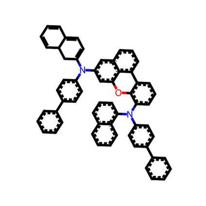 C1=CC2=CC=C(N(c3ccc(-c4ccccc4)cc3)c3cc4c5c(cccc5c3)-c3cccc(N(c5ccc(-c6ccccc6)cc5)c5cccc6ccccc56)c3O4)CC2C=C1